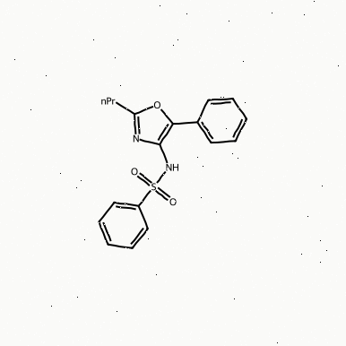 CCCc1nc(NS(=O)(=O)c2ccccc2)c(-c2ccccc2)o1